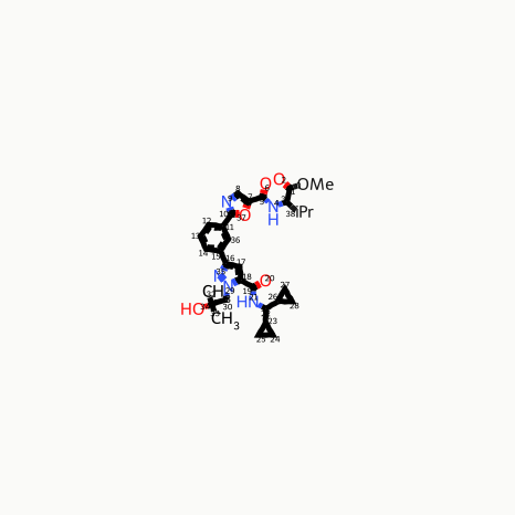 COC(=O)C(NC(=O)c1cnc(-c2cccc(-c3cc(C(=O)NC(C4CC4)C4CC4)n(CC(C)(C)O)n3)c2)o1)C(C)C